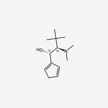 CN(C)[C@@H]([C@@H](O)C1=CCC=C1)C(C)(C)C